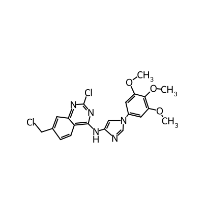 COc1cc(-n2cnc(Nc3nc(Cl)nc4cc(CCl)ccc34)c2)cc(OC)c1OC